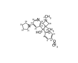 CN1CC(C)(C(O)(c2ccc(OC(F)(F)F)cc2)c2cncc(N3CCCC3)c2)C1